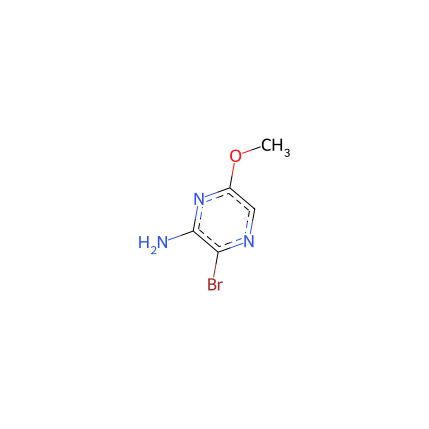 COc1cnc(Br)c(N)n1